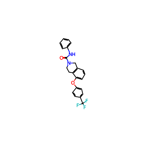 O=C(Nc1ccccc1)N1CCc2c(cccc2Oc2ccc(C(F)(F)F)cc2)C1